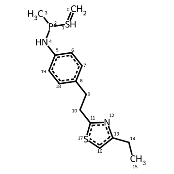 C=[SH]P(C)Nc1ccc(CCc2nc(CC)cs2)cc1